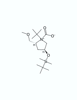 COC[C@H]1C[C@H](O[Si](C)(C)C(C)(C)C)C[N+]1(C(=O)[O-])C(C)(C)C